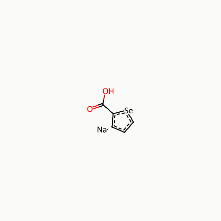 O=C(O)c1ccc[se]1.[Na]